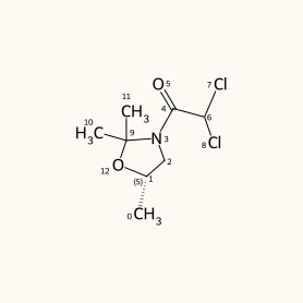 C[C@H]1CN(C(=O)C(Cl)Cl)C(C)(C)O1